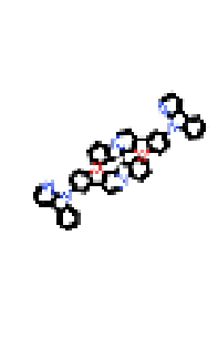 c1ccc([Si](c2ccccc2)(c2nccc3c2oc2ccc(-n4c5ccccc5c5cccnc54)cc23)c2nccc3c2oc2ccc(-n4c5ccccc5c5cccnc54)cc23)cc1